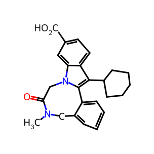 CN1Cc2ccccc2-c2c(C3CCCCC3)c3ccc(C(=O)O)cc3n2CC1=O